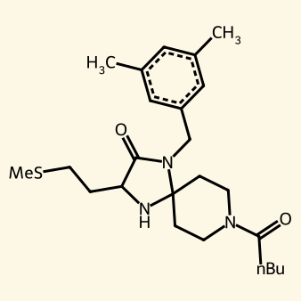 CCCCC(=O)N1CCC2(CC1)NC(CCSC)C(=O)N2Cc1cc(C)cc(C)c1